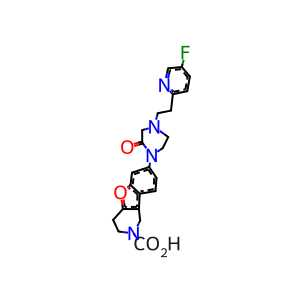 O=C(O)N1CCc2oc3cc(N4CCN(CCc5ccc(F)cn5)CC4=O)ccc3c2C1